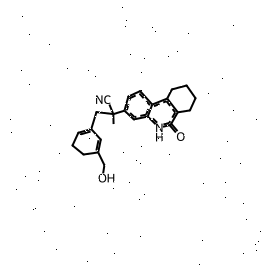 CC(C#N)(CC1=CCCC(CO)=C1)c1ccc2c3c(c(=O)[nH]c2c1)CCCC3